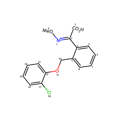 CON=C(C(=O)O)c1ccccc1COc1ccccc1Cl